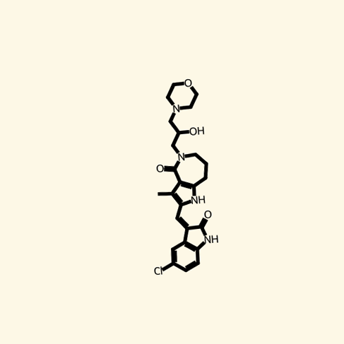 Cc1c(C=C2C(=O)Nc3ccc(Cl)cc32)[nH]c2c1C(=O)N(CC(O)CN1CCOCC1)CCC2